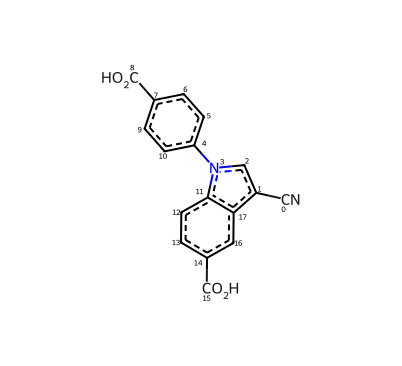 N#Cc1cn(-c2ccc(C(=O)O)cc2)c2ccc(C(=O)O)cc12